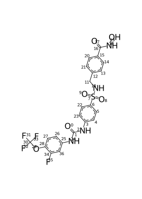 O=C(Nc1ccc(S(=O)(=O)NCc2ccc(C(=O)NO)cc2)cc1)Nc1ccc(OC(F)(F)F)c(F)c1